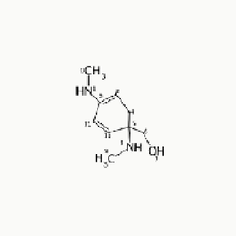 CNC1=CCC(CO)(NC)C=C1